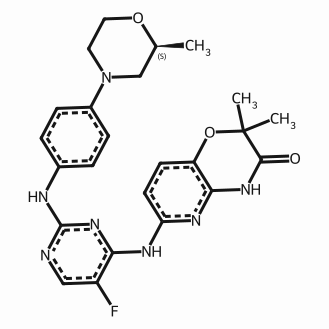 C[C@H]1CN(c2ccc(Nc3ncc(F)c(Nc4ccc5c(n4)NC(=O)C(C)(C)O5)n3)cc2)CCO1